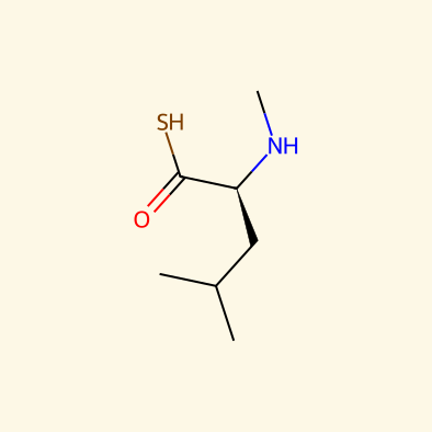 CN[C@@H](CC(C)C)C(=O)S